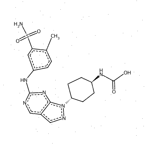 Cc1ccc(Nc2ncc3cnn([C@H]4CC[C@H](NC(=O)O)CC4)c3n2)cc1S(N)(=O)=O